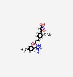 COc1cc(CCCOc2cc(C)ccc2-c2nnn[nH]2)ccc1-c1cc(O)no1